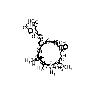 CNC(=O)C[C@@H]1NC(=O)c2csc(n2)-c2ccc(-c3nc(N(CCCCC(=O)O)C(=O)[C@H]4CC[C@H](C(=O)O)CC4)cs3)nc2-c2csc(n2)-c2csc(n2)[C@H]([C@@H](O)c2ccccc2)NC(=O)CNC(=O)c2nc(sc2COC)[C@H](C(C)C)NC(=O)c2nc1sc2C